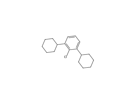 Clc1c(C2CCCCC2)cccc1C1CCCCC1